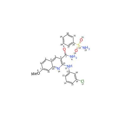 COc1ccc2cc(C(N)=O)c(Nc3cccc(Cl)c3)nc2c1.NS(=O)(=O)c1ccccc1